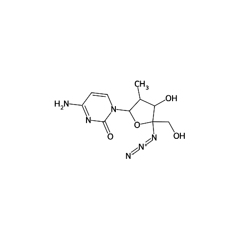 CC1C(n2ccc(N)nc2=O)OC(CO)(N=[N+]=[N-])C1O